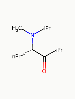 CCC[C@@H](C(=O)C(C)C)N(C)C(C)C